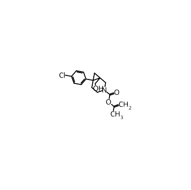 C=C(C)OC(=O)N1CCC2(c3ccc(Cl)cc3)CC2(CO)C1